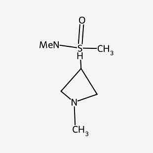 CN[SH](C)(=O)C1CN(C)C1